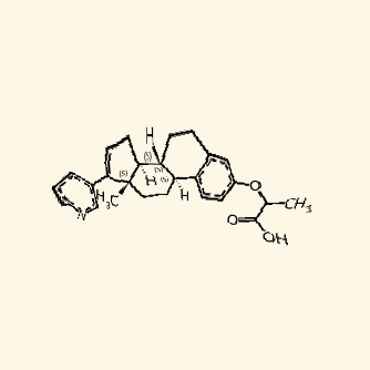 CC(Oc1ccc2c(c1)CC[C@@H]1[C@@H]2CC[C@]2(C)C(c3cccnc3)=CC[C@@H]12)C(=O)O